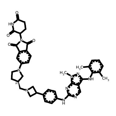 Cc1cccc(C)c1Nc1nn(C)c2nc(Nc3ccc(C4CN(C[C@H]5CCN(c6ccc7c(c6)C(=O)N(C6CCC(=O)NC6=O)C7=O)C5)C4)cc3)ncc12